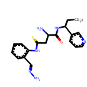 NN=Cc1ccccc1NC(=S)CC(N)C(=O)NC(CC(=O)O)c1cccnc1